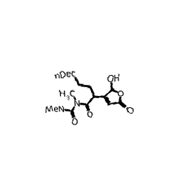 CCCCCCCCCCCCC(C(=O)N(C)C(=O)NC)C1=CC(=O)OC1O